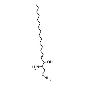 CCCCCCCCCCCCC/C=C/C(O)C(N)CON